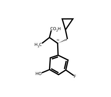 CC(C(=O)O)[C@H](CC1CC1)c1cc(O)cc(F)c1